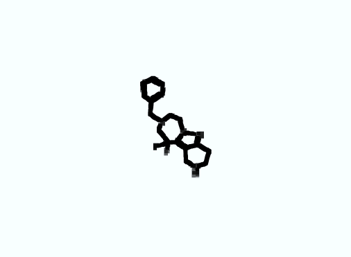 FC1(F)CN(Cc2ccccc2)CCn2nc3c(c21)CNCC3